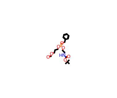 CC(C)(C)OC(=O)NCCOP(OCCCOC=O)OCc1ccccc1